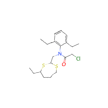 CCc1cccc(CC)c1N(CC1SCCCC(CC)S1)C(=O)CCl